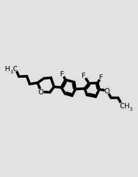 CCCCC1CCC(c2ccc(-c3ccc(OCCC)c(F)c3F)cc2F)CO1